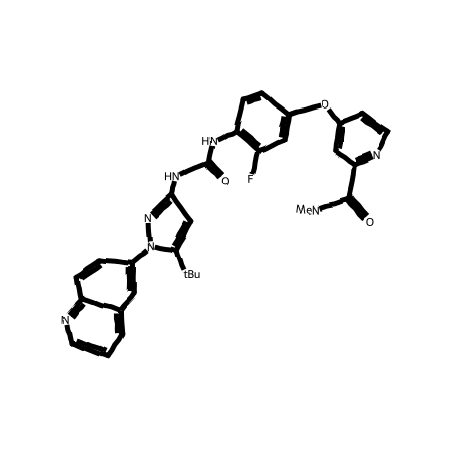 CNC(=O)c1cc(Oc2ccc(NC(=O)Nc3cc(C(C)(C)C)n(-c4ccc5ncccc5c4)n3)c(F)c2)ccn1